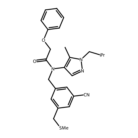 CSCc1cc(C#N)cc(CN(C(=O)COc2ccccc2)c2cnn(CC(C)C)c2C)c1